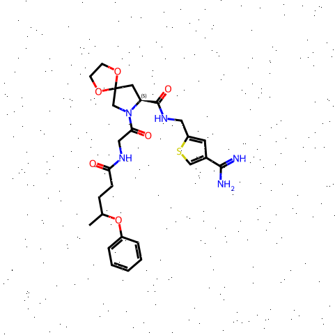 CC(CCC(=O)NCC(=O)N1CC2(C[C@H]1C(=O)NCc1cc(C(=N)N)cs1)OCCO2)Oc1ccccc1